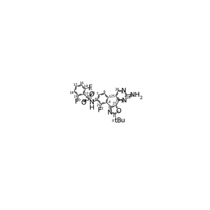 CC(C)(C)c1nc(-c2cccc(NS(=O)(=O)c3c(F)cccc3F)c2F)c(-c2ccnc(N)n2)o1